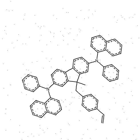 C=Cc1ccc(CC2(C)c3cc(N(c4ccccc4)c4cccc5ccccc45)ccc3-c3ccc(N(c4ccccc4)c4cccc5ccccc45)cc32)cc1